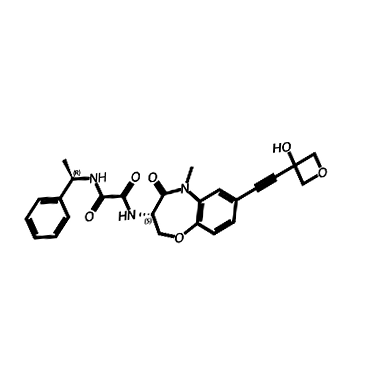 C[C@@H](NC(=O)C(=O)N[C@H]1COc2ccc(C#CC3(O)COC3)cc2N(C)C1=O)c1ccccc1